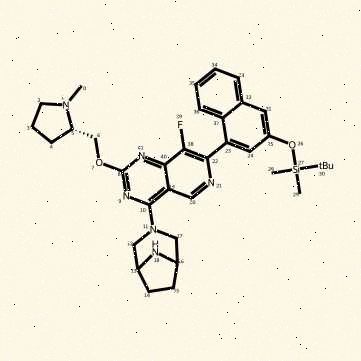 CN1CCC[C@H]1COc1nc(N2CC3CCC(C2)N3)c2cnc(-c3cc(O[Si](C)(C)C(C)(C)C)cc4ccccc34)c(F)c2n1